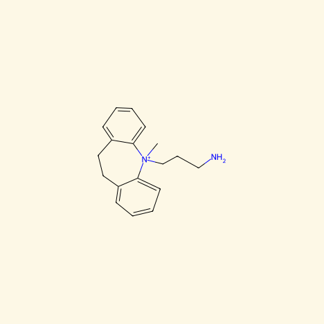 C[N+]1(CCCN)c2ccccc2CCc2ccccc21